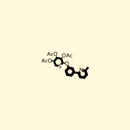 CC(=O)O[C@@H]1[C@@H](OC(C)=O)[C@@H](Oc2cccc(-c3cccc(C)n3)c2)SC[C@H]1OC(C)=O